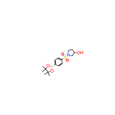 CC1(C)OB(c2ccc(S(=O)(=O)N3CCC(O)C3)cc2)OC1(C)C